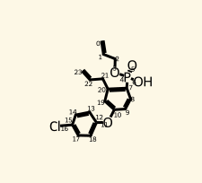 C=CCOP(=O)(O)c1ccc(Oc2ccc(Cl)cc2)cc1CC=C